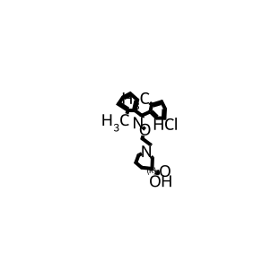 Cc1ccccc1C(=NOCCN1CCC[C@@H](C(=O)O)C1)c1ccccc1C.Cl